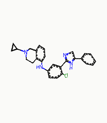 Clc1ccc(Nc2cccc3c2CCN(C2CC2)C3)cc1-c1ncc(-c2ccccc2)[nH]1